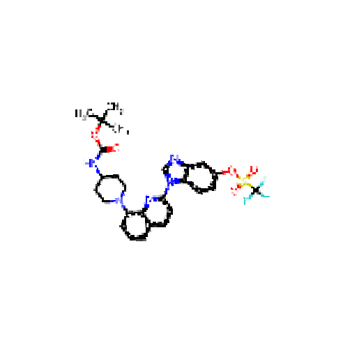 CC(C)(C)OC(=O)NC1CCN(c2cccc3ccc(-n4cnc5cc(OS(=O)(=O)C(F)(F)F)ccc54)nc23)CC1